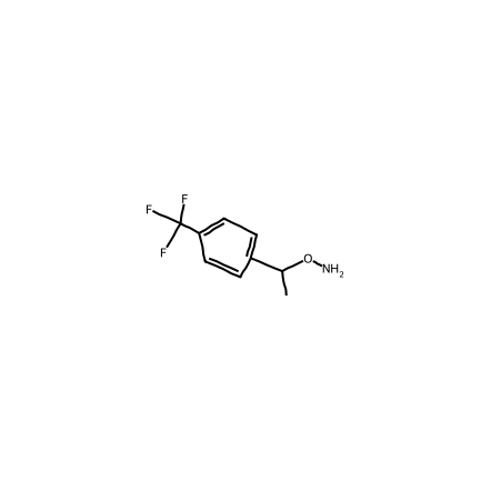 CC(ON)c1ccc(C(F)(F)F)cc1